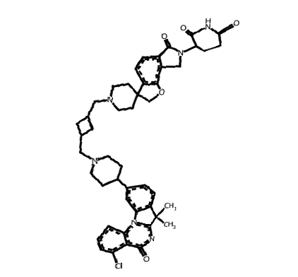 CC1(C)c2ccc(C3CCN(CC4CC(CN5CCC6(CC5)COc5c6ccc6c5CN(C5CCC(=O)NC5=O)C6=O)C4)CC3)cc2-n2c1nc(=O)c1c(Cl)cccc12